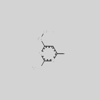 CCCCCCNc1cc(Cl)nc(SC)n1